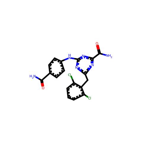 NC(=O)c1ccc(Nc2nc(Cc3c(Cl)cccc3Cl)nc(C(N)=O)n2)cc1